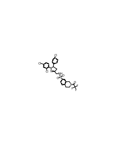 O=C(N1CCc2ccc(S(=O)(=O)NCC3=NN(c4ccc(Cl)cc4Cl)C(c4ccc(Cl)cc4)C3)cc2C1)C(F)(F)F